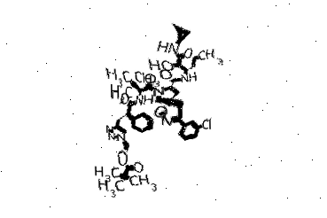 CCC[C@H](NC(=O)[C@@H]1C[C@]2(CC(c3cccc(Cl)c3)=NO2)CN1C(=O)[C@@H](NC(=O)[C@@H](Cc1cn(COC(=O)C(C)(C)C)nn1)C1CCCCC1)C(C)(C)C)C(O)C(=O)NC1CC1